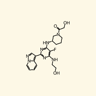 O=C(CO)N1CCC[C@@H](Nc2nc(-c3cnn4ccccc34)nc(NCCO)c2F)C1